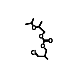 CC(CCl)COC(=O)OCC(C)OC(C)C